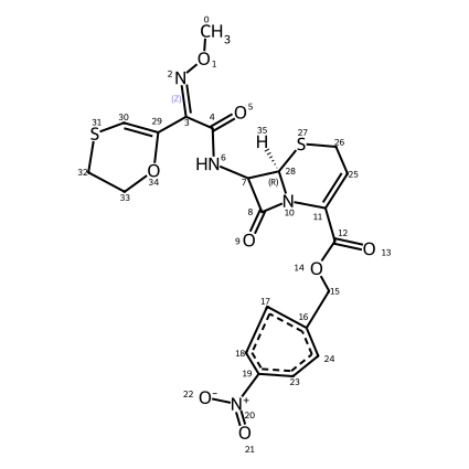 CO/N=C(\C(=O)NC1C(=O)N2C(C(=O)OCc3ccc([N+](=O)[O-])cc3)=CCS[C@H]12)C1=CSCCO1